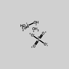 O.O=S(=O)(O)O.O=S(=O)([O-])[O-].[Cd+2]